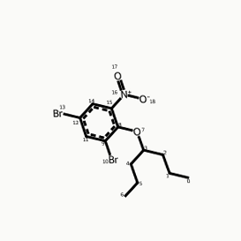 CCCC(CCC)Oc1c(Br)cc(Br)cc1[N+](=O)[O-]